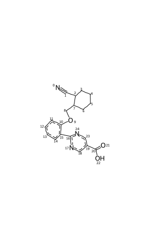 N#CC1CCCCC1COc1ccccc1-c1ncc(C(=O)O)cn1